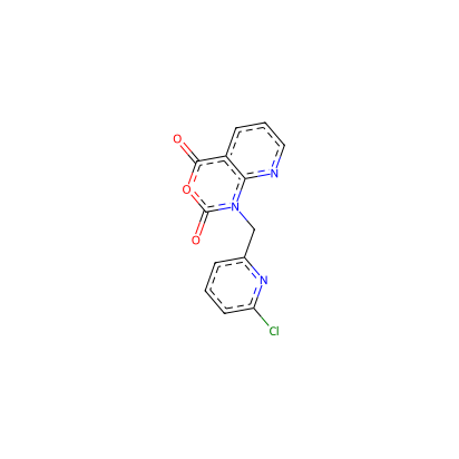 O=c1oc(=O)n(Cc2cccc(Cl)n2)c2ncccc12